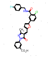 CC1=NN(c2cccc(C(=O)O)c2)C(=O)/C1=C/c1ccc(-c2ccc(Cl)c(C(=O)NCc3ccc(F)cc3)c2)o1